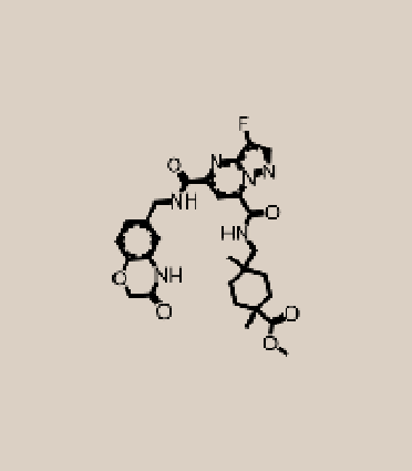 COC(=O)C1(C)CCC(C)(CNC(=O)c2cc(C(=O)NCc3ccc4c(c3)NC(=O)CO4)nc3c(F)cnn23)CC1